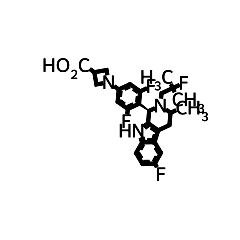 CC1Cc2c([nH]c3ccc(F)cc23)[C@@H](c2c(F)cc(N3CC(C(=O)O)C3)cc2F)N1CC(C)(C)F